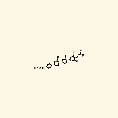 CCCCCc1ccc(-c2ccc(-c3ccc(-c4cc(F)c(CC=C(F)F)c(F)c4)c(F)c3)c(F)c2)cc1